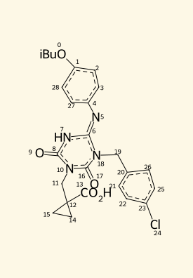 CC(C)COc1ccc(/N=c2\[nH]c(=O)n(CC3(C(=O)O)CC3)c(=O)n2Cc2ccc(Cl)cc2)cc1